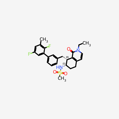 CCn1ccc2c(c1=O)[C@@H](Cc1cccc(-c3cc(F)cc(C)c3F)c1)[C@@H](NS(C)(=O)=O)CC2